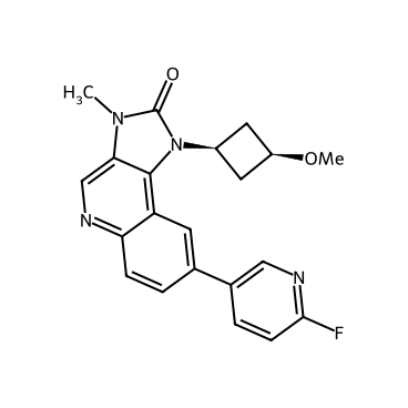 CO[C@H]1C[C@@H](n2c(=O)n(C)c3cnc4ccc(-c5ccc(F)nc5)cc4c32)C1